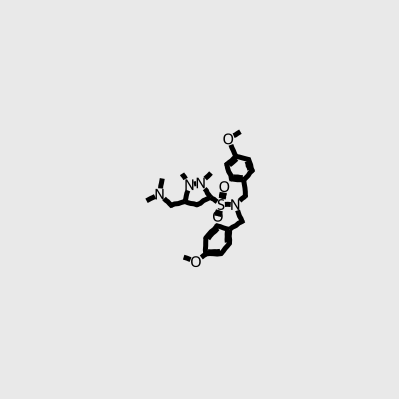 COc1ccc(CN(Cc2ccc(OC)cc2)S(=O)(=O)C2CC(CN(C)C)N(C)N2C)cc1